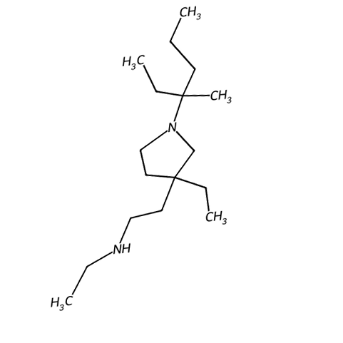 CCCC(C)(CC)N1CCC(CC)(CCNCC)C1